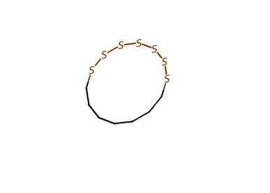 C1CCCSSSSSSSCCC1